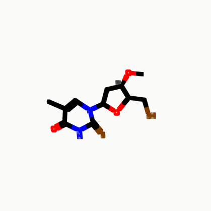 CO[C@@H]1CC(n2cc(C)c(=O)[nH]c2=S)OC1CS